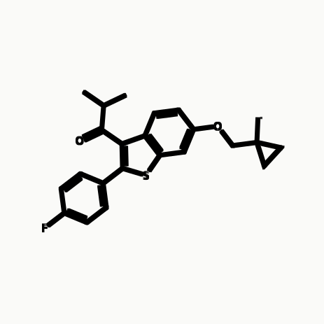 [CH2]C1(COc2ccc3c(C(=O)C(C)C)c(-c4ccc(F)cc4)sc3c2)CC1